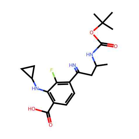 CC(CC(=N)c1ccc(C(=O)O)c(NC2CC2)c1F)NC(=O)OC(C)(C)C